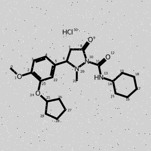 COc1ccc(C2CC(=O)N(C(=O)NC3CCCCC3)N2C)cc1OC1CCCC1.Cl